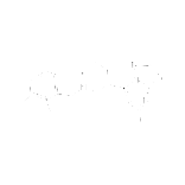 Cc1cc(C2CCCN(Cc3cccc(C)c3C)C2)n2ncnc2n1